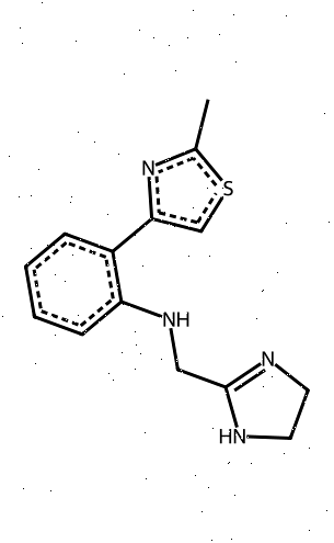 Cc1nc(-c2ccccc2NCC2=NCCN2)cs1